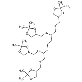 CC1(C)OCC(COCC(CCCC(COCC2COC(C)(C)O2)OCC2COC(C)(C)O2)OCC2COC(C)(C)O2)O1